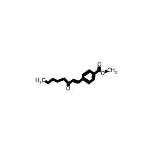 CCCCCC(=O)C=Cc1ccc(C(=O)OC)cc1